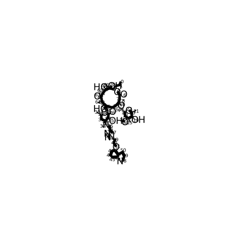 CCC[C@H]1OC(=O)[C@H](C)[C@@H](OC[C@H]2C[C@@](C)(OC)[C@@H](O)[C@H](C)O2)[C@H](C)[C@@H](O[C@@H]2O[C@H](C)C[C@H](N(C)Cc3cn(CCOc4cccc5ncccc45)nn3)[C@H]2O)[C@](C)(O)C[C@@H](C)C(=O)[C@H](C)[C@@H](O)[C@]1(C)O